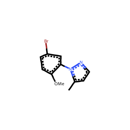 COc1ccc(Br)cc1-n1nccc1C